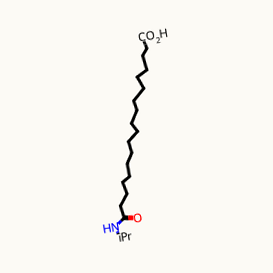 CC(C)NC(=O)CCCCCCCCCCCCCCCCC(=O)O